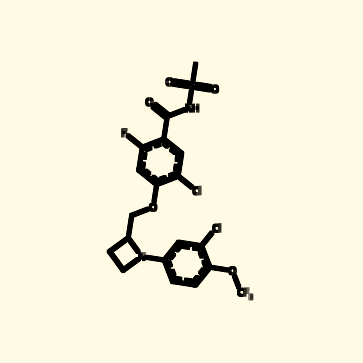 CS(=O)(=O)NC(=O)c1cc(Cl)c(OCC2CCN2c2ccc(OC(F)(F)F)c(Cl)c2)cc1F